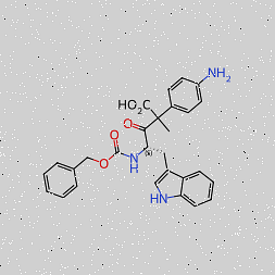 CC(C(=O)O)(C(=O)[C@H](Cc1c[nH]c2ccccc12)NC(=O)OCc1ccccc1)c1ccc(N)cc1